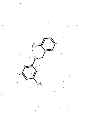 Cc1cccc(OCc2ccccc2Br)c1